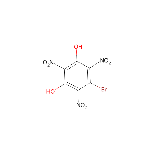 O=[N+]([O-])c1c(O)c([N+](=O)[O-])c(Br)c([N+](=O)[O-])c1O